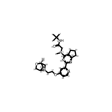 CN(CC(=O)NC(C)(C)C)c1nc(-c2cc(OCCN3C[C@@H]4CC3CO4)ccn2)nc2c1CCC2